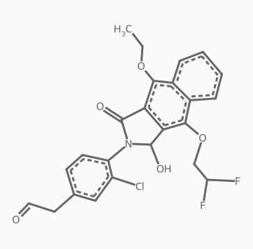 CCOc1c2c(c(OCC(F)F)c3ccccc13)C(O)N(c1ccc(CC=O)cc1Cl)C2=O